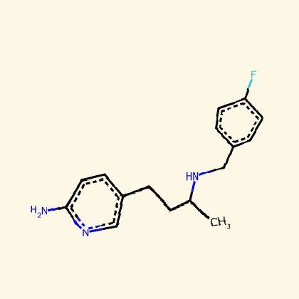 CC(CCc1ccc(N)nc1)NCc1ccc(F)cc1